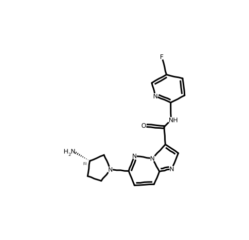 N[C@H]1CCN(c2ccc3ncc(C(=O)Nc4ccc(F)cn4)n3n2)C1